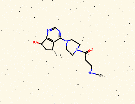 CC(C)NCCC(=O)N1CCN(c2ncnc3c2[C@H](C)C[C@H]3O)CC1